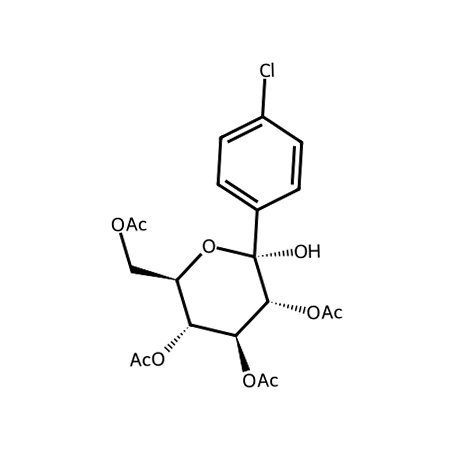 CC(=O)OC[C@H]1O[C@@](O)(c2ccc(Cl)cc2)[C@H](OC(C)=O)[C@@H](OC(C)=O)[C@@H]1OC(C)=O